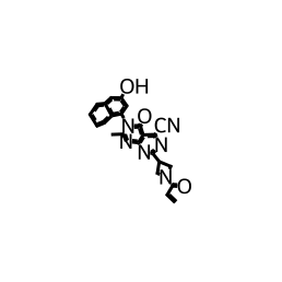 C=CC(=O)N1CC(c2nc(C#N)c3c(=O)n(-c4cc(O)cc5ccccc45)c(C)nc3n2)C1